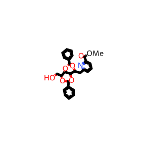 COC(=O)c1cccc(CC2OC(c3ccccc3)OC3C(CO)OC(c4ccccc4)OC23)n1